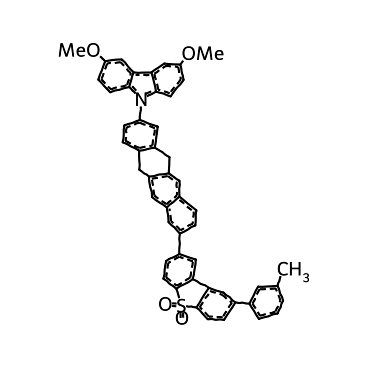 COc1ccc2c(c1)c1cc(OC)ccc1n2-c1ccc2c(c1)Cc1cc3ccc(-c4ccc5c(c4)-c4cc(-c6cccc(C)c6)ccc4S5(=O)=O)cc3cc1C2